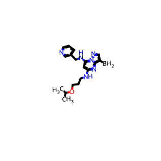 Bc1cnn2c(NCc3cccnc3)cc(NCCCOC(C)C)nc12